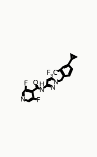 O=C(Nc1ccn(Cc2ccc(C3CC3)cc2C(F)(F)F)n1)c1c(F)cncc1F